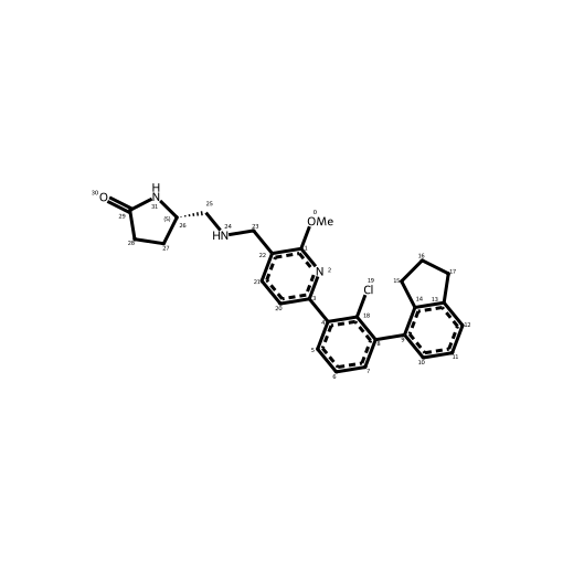 COc1nc(-c2cccc(-c3cccc4c3CCC4)c2Cl)ccc1CNC[C@@H]1CCC(=O)N1